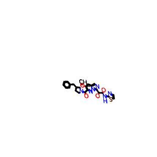 COc1cc2cnc(C(=O)C(=O)Nc3nccs3)n2nc1C(=O)N1CCC(Cc2ccccc2)C1